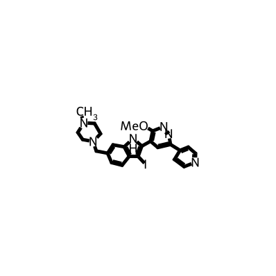 COc1nnc(-c2ccncc2)cc1-c1[nH]c2cc(CN3CCN(C)CC3)ccc2c1I